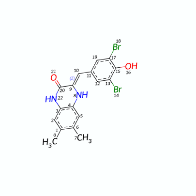 Cc1cc2c(cc1C)N/C(=C\c1cc(Br)c(O)c(Br)c1)C(=O)N2